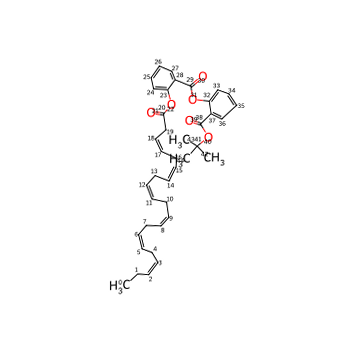 CC/C=C\C/C=C\C/C=C\C/C=C\C/C=C\C/C=C\CC(=O)Oc1ccccc1C(=O)Oc1ccccc1C(=O)OC(C)(C)C